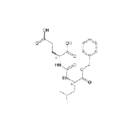 CC(C)C[C@H](NC(=O)N[C@@H](CCC(=O)O)C(=O)O)C(=O)OCc1ccccc1